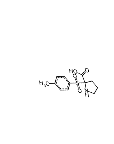 Cc1ccc(S(=O)(=O)C2(C(=O)O)CCCN2)cc1